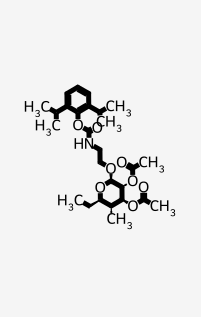 CC[C@H]1O[C@@H](OCCNC(=O)Oc2c(C(C)C)cccc2C(C)C)[C@H](OC(C)=O)[C@@H](OC(C)=O)[C@@H]1C